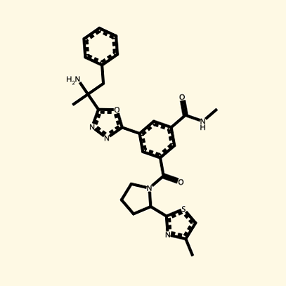 CNC(=O)c1cc(C(=O)N2CCCC2c2nc(C)cs2)cc(-c2nnc(C(C)(N)Cc3ccccc3)o2)c1